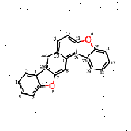 c1ccc2c(c1)oc1cc3c(ccc4oc5ccccc5c43)cc12